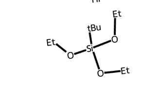 CCO[Si](OCC)(OCC)C(C)(C)C.F